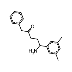 Cc1cc(C)cc(C(N)CCC(=O)Cc2ccccc2)c1